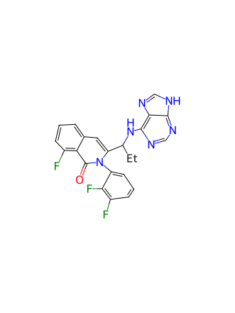 CCC(Nc1ncnc2[nH]cnc12)c1cc2cccc(F)c2c(=O)n1-c1cccc(F)c1F